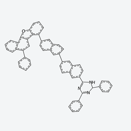 c1ccc(C2=NC(c3ccccc3)NC(c3ccc4cc(-c5ccc6cc(-c7cccc8oc9c%10ccccc%10c(-c%10ccccc%10)cc9c78)ccc6c5)ccc4c3)=N2)cc1